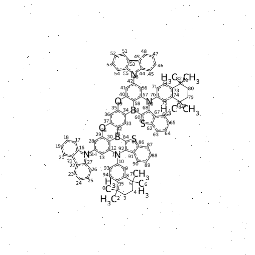 CC1(C)CCC(C)(C)c2cc(N3c4cc(-n5c6ccccc6c6ccccc65)cc5c4B(c4cc6c(cc4O5)Oc4cc(-n5c7ccccc7c7ccccc75)cc5c4B6c4sc6ccccc6c4N5c4ccc5c(c4)C(C)(C)CCC5(C)C)c4sc5ccccc5c43)ccc21